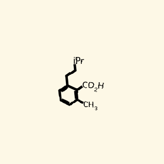 Cc1cccc(CCC(C)C)c1C(=O)O